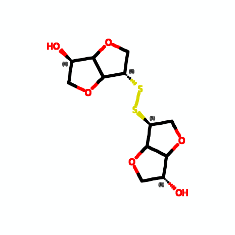 O[C@@H]1COC2C1OC[C@@H]2SS[C@H]1COC2C1OC[C@H]2O